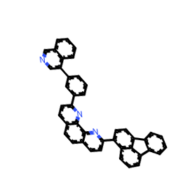 c1cc(-c2ccc3ccc4ccc(-c5ccc6c7c(cccc57)-c5ccccc5-6)nc4c3n2)cc(-c2cncc3ccccc23)c1